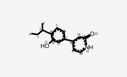 CCC(C)c1ccc(-c2cc[nH]c(=O)c2)cc1O